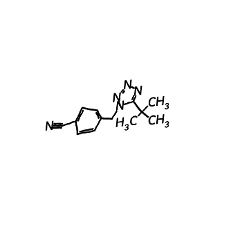 CC(C)(C)c1nnnn1Cc1ccc(C#N)cc1